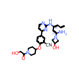 C=C/C=C(\C=C(/N)N1CC(O)C1)Nc1nccc(-c2ccc(OC3CCN(C(=O)CO)CC3)c(C#N)c2)n1